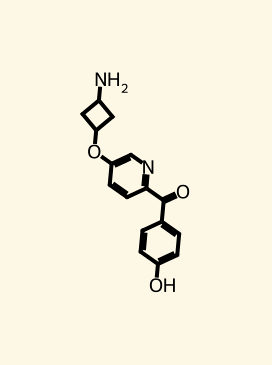 NC1CC(Oc2ccc(C(=O)c3ccc(O)cc3)nc2)C1